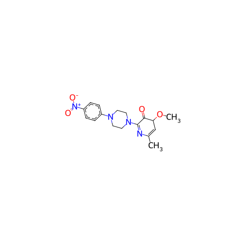 COC1C=C(C)N=C(N2CCN(c3ccc([N+](=O)[O-])cc3)CC2)C1=O